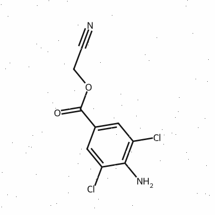 N#CCOC(=O)c1cc(Cl)c(N)c(Cl)c1